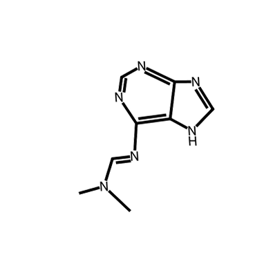 CN(C)C=Nc1ncnc2nc[nH]c12